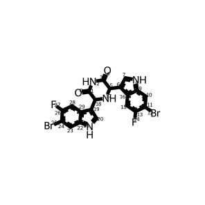 O=C1NC(=O)C(c2c[nH]c3cc(Br)c(F)cc23)NC1c1c[nH]c2cc(Br)c(F)cc12